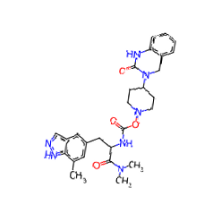 Cc1cc(CC(NC(=O)ON2CCC(N3Cc4ccccc4NC3=O)CC2)C(=O)N(C)C)cc2cn[nH]c12